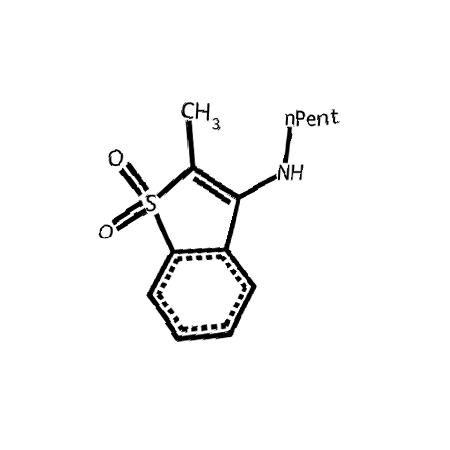 CCCCCNC1=C(C)S(=O)(=O)c2ccccc21